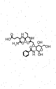 CCC(NC(=O)CO[C@H]1[C@H](O)[C@@H](CO)OC(O)[C@@H]1NC(=O)c1ccccc1)C(=O)NC(CCC(=O)O)C(N)=O